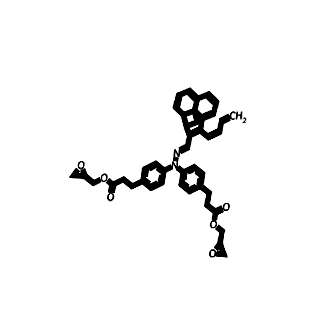 C=C/C=C\C1=C(C=NN(c2ccc(CCC(=O)OCC3CO3)cc2)c2ccc(CCC(=O)OCC3CO3)cc2)C2CC34C(=CC=CC23)C=CC=C14